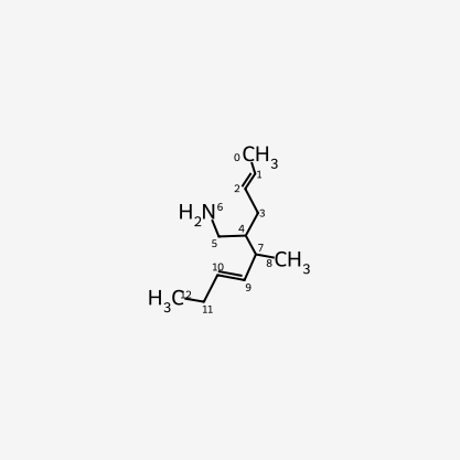 CC=CCC(CN)C(C)/C=C/CC